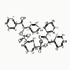 O=C(c1ccccc1)C(OS(=O)(=O)c1cccc(S(=O)(=O)OC(C(=O)c2ccccc2)c2ccccc2)c1)c1ccccc1